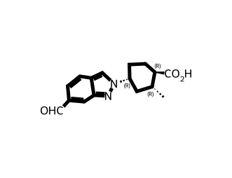 C[C@@H]1C[C@H](n2cc3ccc(C=O)cc3n2)CC[C@H]1C(=O)O